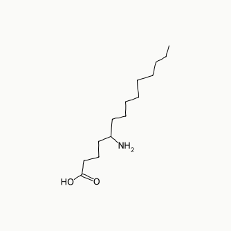 CCCCCCCCCC(N)CCCC(=O)O